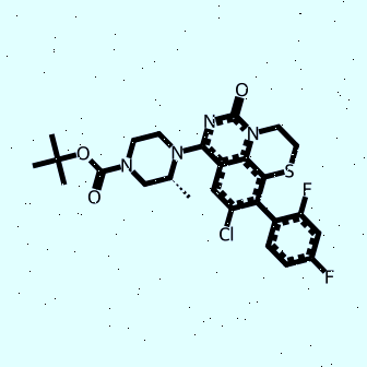 C[C@@H]1CN(C(=O)OC(C)(C)C)CCN1c1nc(=O)n2c3c(c(-c4ccc(F)cc4F)c(Cl)cc13)SCC2